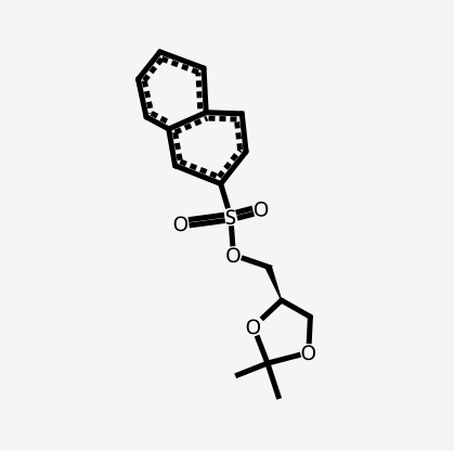 CC1(C)OC[C@H](COS(=O)(=O)c2ccc3ccccc3c2)O1